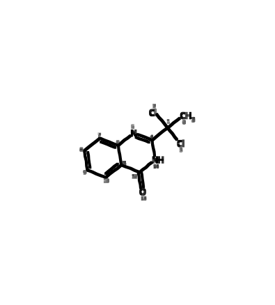 CC(Cl)(Cl)c1nc2ccccc2c(=O)[nH]1